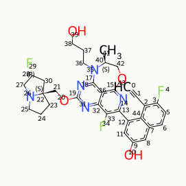 C#Cc1c(F)ccc2cc(O)cc(-c3nc4c5c(nc(OC[C@@]67CCCN6C[C@H](F)C7)nc5c3F)N(CCCO)[C@@H](C)CO4)c12